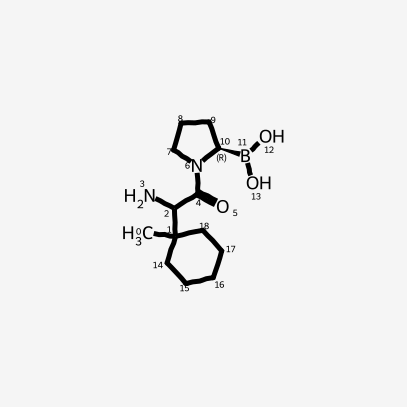 CC1(C(N)C(=O)N2CCC[C@H]2B(O)O)CCCCC1